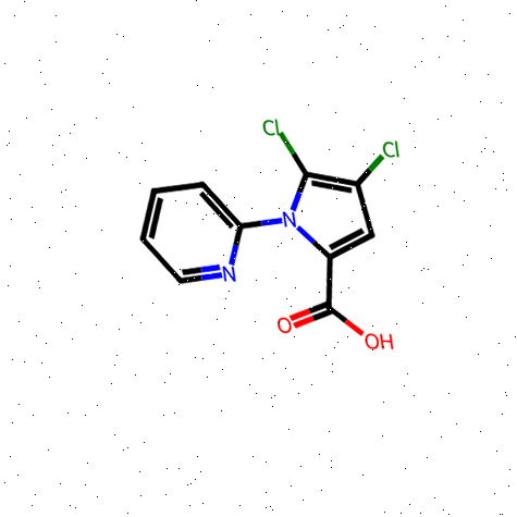 O=C(O)c1cc(Cl)c(Cl)n1-c1ccccn1